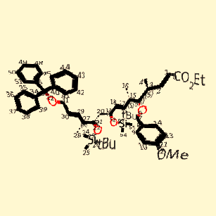 CCOC(=O)C=C[C@H](C)[C@H](OCc1ccc(OC)cc1)[C@@H](C)C=C[C@H](C[C@H](O[Si](C)(C)C(C)(C)C)[C@H](C)C=CCOC(c1ccccc1)(c1ccccc1)c1ccccc1)O[Si](C)(C)C(C)(C)C